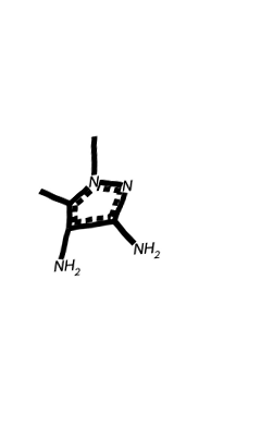 Cc1c(N)c(N)nn1C